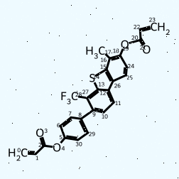 C=CC(=O)Oc1ccc(-c2ccc3c(sc4c(C)c(OC(=O)C=C)ccc43)c2C(F)(F)F)cc1